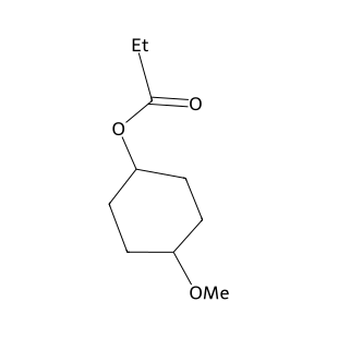 [CH2]CC(=O)OC1CCC(OC)CC1